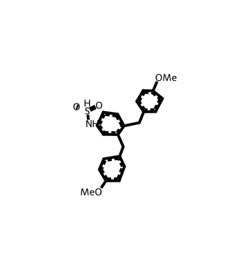 COc1ccc(Cc2ccccc2Cc2ccc(OC)cc2)cc1.N[SH](=O)=O